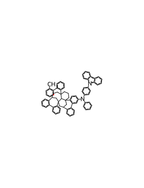 Cc1ccccc1-c1ccccc1C12CCCC34CC(CC5(CC(CC1)c1ccccc1-c1ccccc15)C23)c1ccccc1-c1cc(N(c2ccccc2)c2ccc(-n3c5ccccc5c5ccccc53)cc2)ccc14